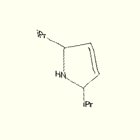 CC(C)C1C=CC(C(C)C)N1